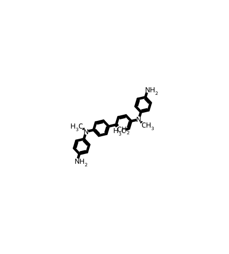 C=C(/C=C\C(=C/C)N(C)c1ccc(N)cc1)c1ccc(N(C)c2ccc(N)cc2)cc1